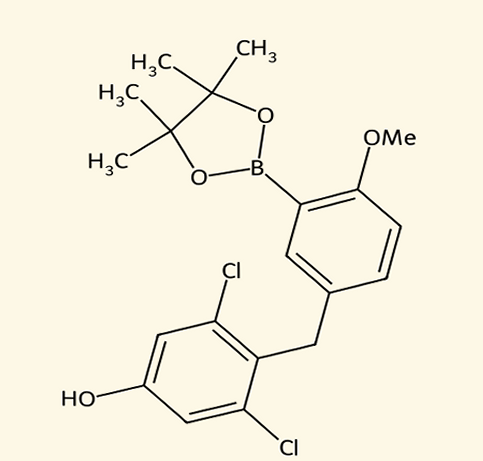 COc1ccc(Cc2c(Cl)cc(O)cc2Cl)cc1B1OC(C)(C)C(C)(C)O1